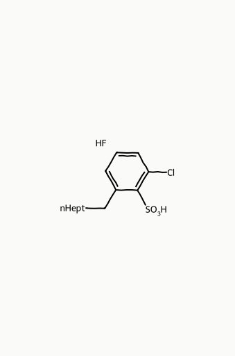 CCCCCCCCc1cccc(Cl)c1S(=O)(=O)O.F